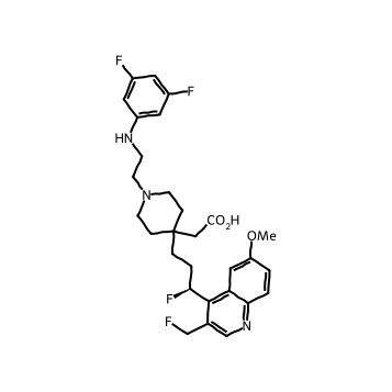 COc1ccc2ncc(CF)c([C@@H](F)CCC3(CC(=O)O)CCN(CCNc4cc(F)cc(F)c4)CC3)c2c1